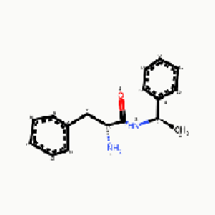 C[C@@H](NC(=O)[C@H](N)Cc1ccccc1)c1ccccc1